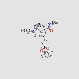 CC(=O)NC(CCCCB1OC(C)(C)C(C)(C)O1)(C(=O)NC(C)(C)C)[C@@H]1CCN(C(=O)O)C1C(C)(C)C